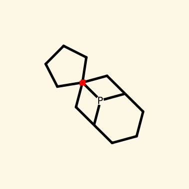 C1CCC(P2C3CCCC2CCC3)C1